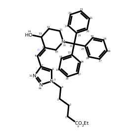 CCOC(=O)CCCCn1cc(/C=C2\CN(C(c3ccccc3)(c3ccccc3)c3ccccc3)CCC2O)nn1